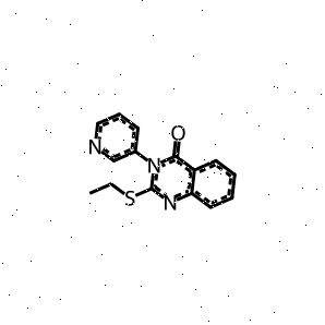 CCSc1nc2ccccc2c(=O)n1-c1cccnc1